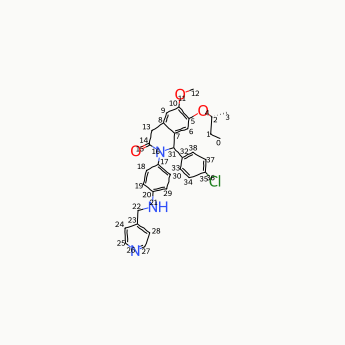 CC[C@@H](C)Oc1cc2c(cc1OC)CC(=O)N(c1ccc(NCc3ccncc3)cc1)C2c1ccc(Cl)cc1